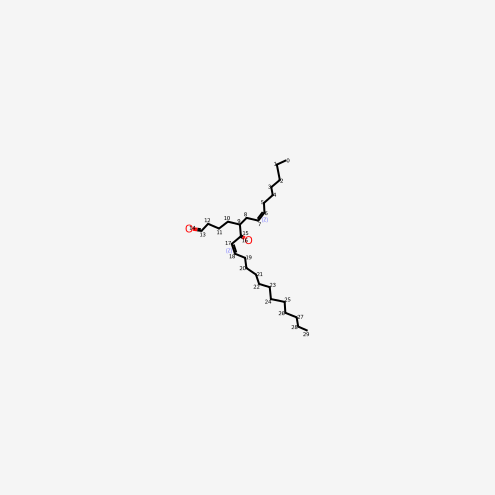 CCCCCC/C=C\CC(CCCC=O)C(=O)/C=C\CCCCCCCCCCC